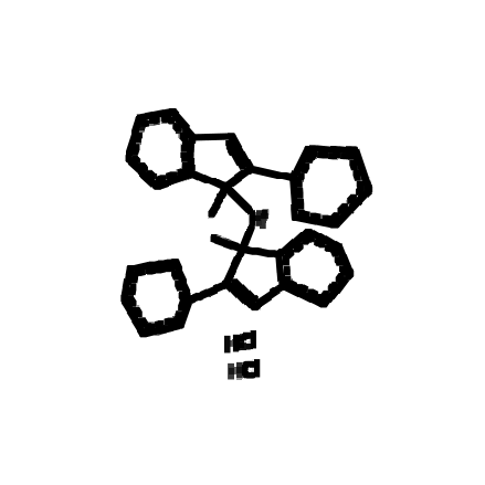 C[C]1([Hf][C]2(C)C(c3ccccc3)=Cc3ccccc32)C(c2ccccc2)=Cc2ccccc21.Cl.Cl